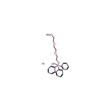 CCCP(OCCOCCOCCOC)(c1ccccc1)(c1ccccc1)c1ccccc1.I